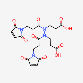 O=C(O)CCN(C(=O)CCN1C(=O)C=CC1=O)N(CCC(=O)O)C(=O)CCN1C(=O)C=CC1=O